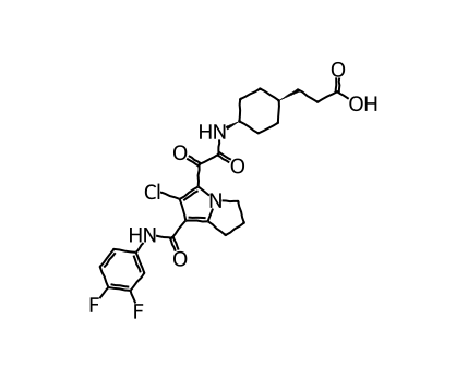 O=C(O)CC[C@H]1CC[C@@H](NC(=O)C(=O)c2c(Cl)c(C(=O)Nc3ccc(F)c(F)c3)c3n2CCC3)CC1